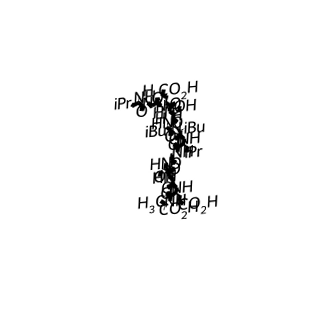 CC[C@H](C)[C@H](NC(=O)[C@H](CO)NC(=O)[C@H](CCC(=O)O)NC(=O)CNC(=O)[C@@H](N)CC(C)C)C(=O)N[C@H](C(=O)N[C@@H](CC(C)C)C(=O)NCC(=O)N[C@@H](CO)C(=O)NCC(=O)N[C@@H](CCC(=O)O)C(=O)N[C@@H](C)C(=O)O)[C@@H](C)CC